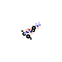 C=C[C@H]1CC[C@@H](c2ccc(CC)cc2)N1C(=O)CN1C(=O)O[C@@]2(CCc3cc(NC(=O)NC)ccc32)C1=O